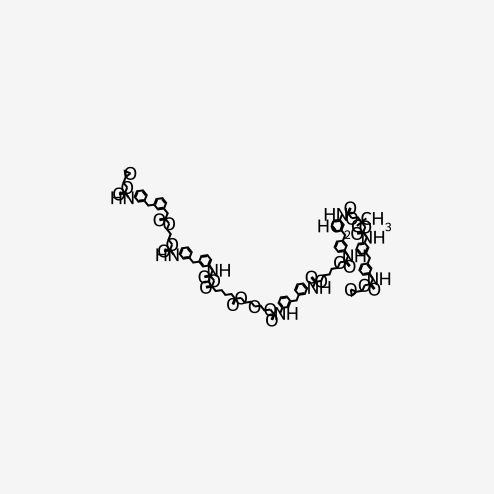 CC(COC(=O)Nc1cccc(Cc2cccc(NC(=O)OCCCCOC(=O)Nc3cccc(Cc4cccc(NC(=O)OCCOCCOC(=O)CCCCC(=O)OC(=O)Nc5cccc(Cc6cccc(NC(=O)OCCCOC(=O)Cc7cccc(Cc8cccc(NC(=O)OCC9CO9)c8)c7)c6)c5)c4)c3)c2)c1)(OC(=O)Nc1cccc(Cc2cccc(NC(=O)OCC3CO3)c2)c1)C(=O)O